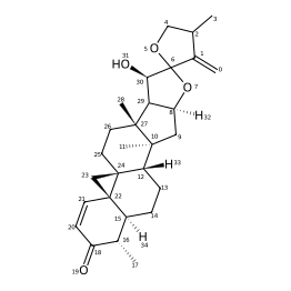 C=C1C(C)COC12O[C@H]1C[C@@]3(C)[C@@H]4CC[C@H]5[C@H](C)C(=O)C=C[C@@]56C[C@@]46CC[C@]3(C)C1[C@H]2O